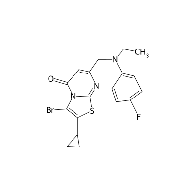 CCN(Cc1cc(=O)n2c(Br)c(C3CC3)sc2n1)c1ccc(F)cc1